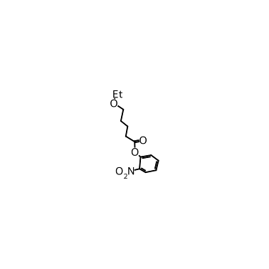 CCOCCCCC(=O)Oc1ccccc1[N+](=O)[O-]